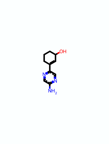 Nc1cnc(C2=CC(O)CCC2)cn1